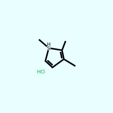 CC1=C(C)[SiH](C)C=C1.Cl